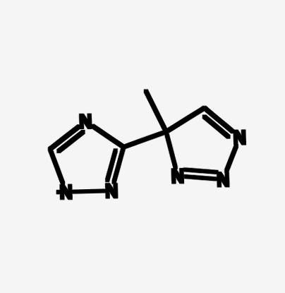 CC1(C2=N[N]C=N2)C=NN=N1